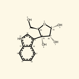 OC[C@H]1O[C@H](O)[C@H](O)[C@@]1(O)c1c[nH]c2ccccc12